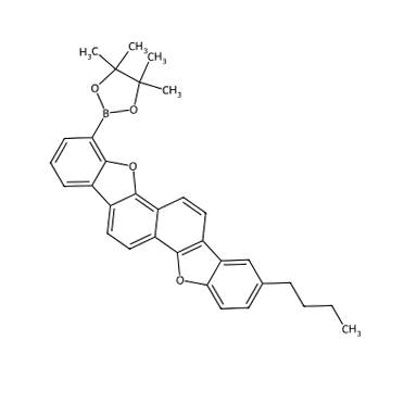 CCCCc1ccc2oc3c(ccc4c3ccc3c5cccc(B6OC(C)(C)C(C)(C)O6)c5oc34)c2c1